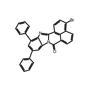 O=c1c2cccc3c(Br)ccc(c32)c2nc3c(-c4ccccc4)cc(-c4ccccc4)cc3n12